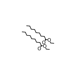 CCCCCCCCC(=O)OCC.CCCCCCCCC(=O)OCC